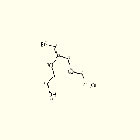 CCC=C(COCCO)OCCO